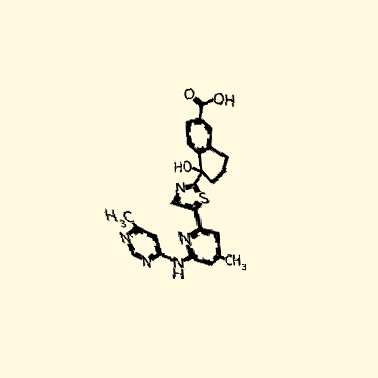 Cc1cc(Nc2cc(C)ncn2)nc(-c2cnc(C3(O)CCCc4cc(C(=O)O)ccc43)s2)c1